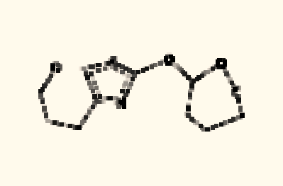 C1CCC(Oc2nc3c(s2)OCCC3)OC1